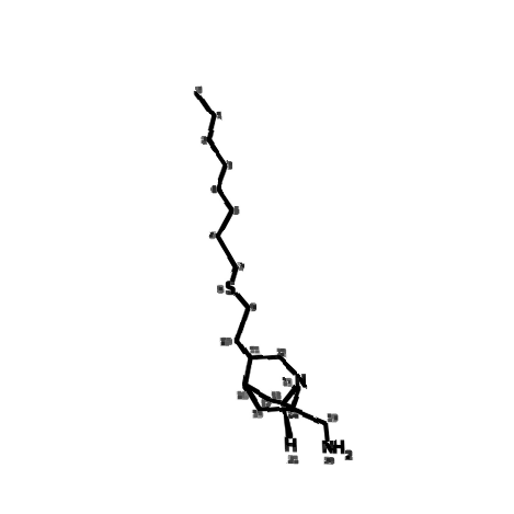 CCCCCCCCSCCC1CN2CCC1C[C@H]2CN